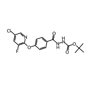 CC(C)(C)OC(=O)NNC(=O)c1ccc(Oc2ncc(Cl)cc2F)cc1